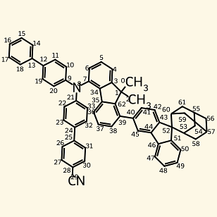 CC1(C)c2cccc(N(c3ccc(-c4ccccc4)cc3)c3ccc(-c4ccc(C#N)cc4)cc3)c2-c2cccc(-c3ccc4c(c3)-c3ccccc3C43C4CC5CC(C4)CC3C5)c21